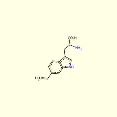 C=Cc1ccc2c(CC(N)C(=O)O)c[nH]c2c1